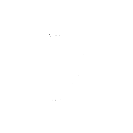 COc1ccc2oc(CC=O)cc2c1